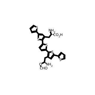 N[C@H](Cc1cc(-c2cccs2)sc1-c1ccc(-c2sc(-c3cccs3)cc2C[C@H](N)C(=O)O)s1)OC=O